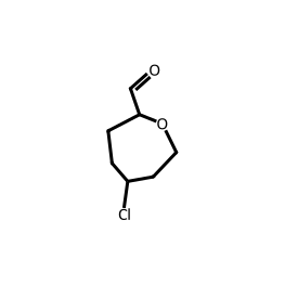 O=CC1CCC(Cl)CCO1